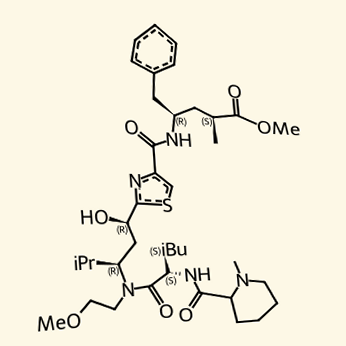 CC[C@H](C)[C@H](NC(=O)C1CCCCN1C)C(=O)N(CCOC)[C@H](C[C@@H](O)c1nc(C(=O)N[C@@H](Cc2ccccc2)C[C@H](C)C(=O)OC)cs1)C(C)C